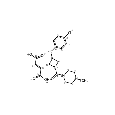 CN1CCN(C(=O)N2CC(Sc3ccc(Cl)cc3)C2)CC1.O=C(O)C=CC(=O)O